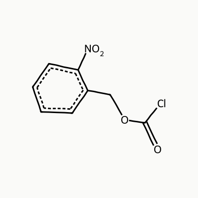 O=C(Cl)OCc1ccccc1[N+](=O)[O-]